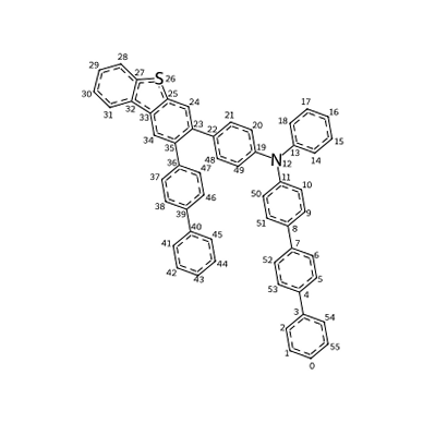 c1ccc(-c2ccc(-c3ccc(N(c4ccccc4)c4ccc(-c5cc6sc7ccccc7c6cc5-c5ccc(-c6ccccc6)cc5)cc4)cc3)cc2)cc1